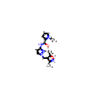 Cc1noc(C)c1Cn1ccc(NC(=O)c2cccn2C)n1